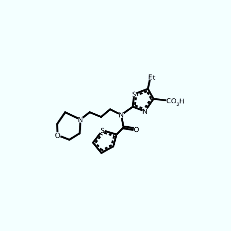 CCc1sc(N(CCCN2CCOCC2)C(=O)c2cccs2)nc1C(=O)O